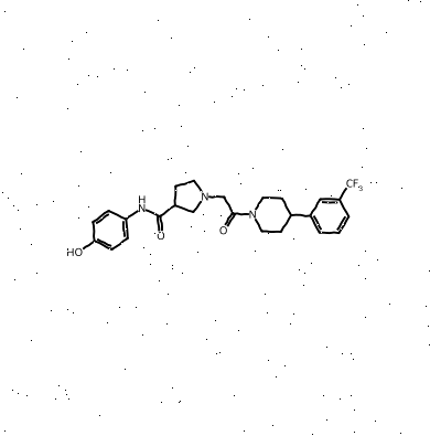 O=C(Nc1ccc(O)cc1)C1CCN(CC(=O)N2CCC(c3cccc(C(F)(F)F)c3)CC2)C1